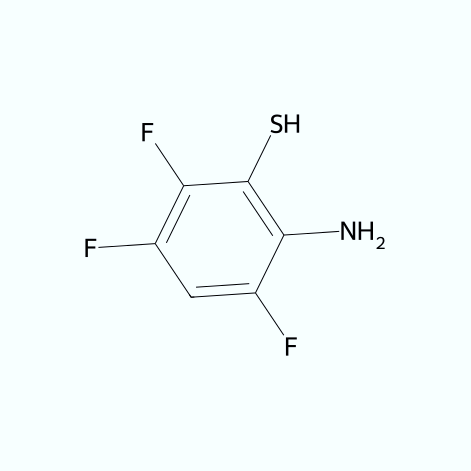 Nc1c(F)cc(F)c(F)c1S